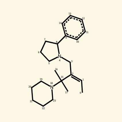 CC=C(CN1CCCC1c1ccccc1)C(C)(C)N1CCCCC1